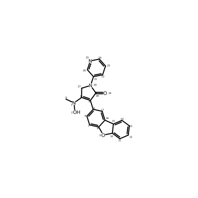 CN(O)C1=C(c2ccc3oc4ccccc4c3c2)C(=O)N(c2cccnc2)C1